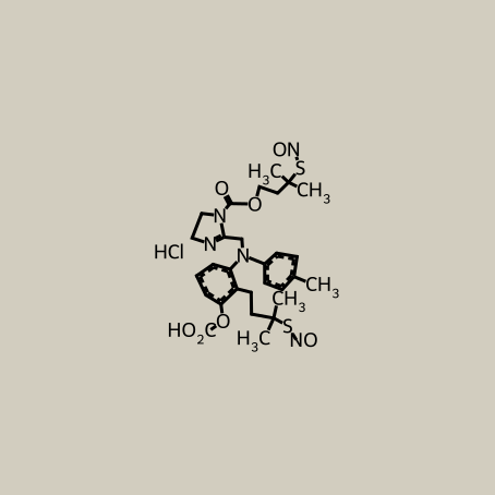 Cc1ccc(N(CC2=NCCN2C(=O)OCCC(C)(C)SN=O)c2cccc(OC(=O)O)c2CCC(C)(C)SN=O)cc1.Cl